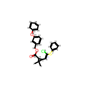 CC1(C)C(/C=C(\Cl)Sc2ccccc2)C1C(=O)OCc1cccc(Oc2ccccc2)c1